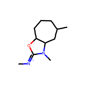 C/N=C1\OC2CCCC(C)CC2N1C